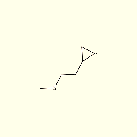 CSCCC1[CH]C1